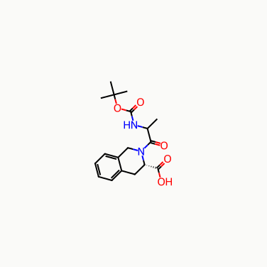 CC(NC(=O)OC(C)(C)C)C(=O)N1Cc2ccccc2C[C@H]1C(=O)O